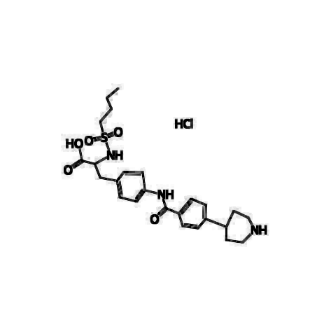 CCCCS(=O)(=O)NC(Cc1ccc(NC(=O)c2ccc(C3CCNCC3)cc2)cc1)C(=O)O.Cl